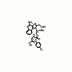 CCCC[C@@H](CO[P@](=O)(N[C@@H](C)C(=O)OC(C)C)Oc1ccc(Cl)cc1)n1c(COCC)nc2c(N)nc3ccccc3c21